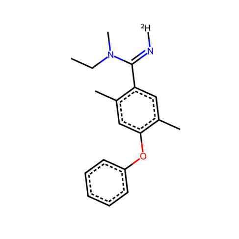 [2H]N=C(c1cc(C)c(Oc2ccccc2)cc1C)N(C)CC